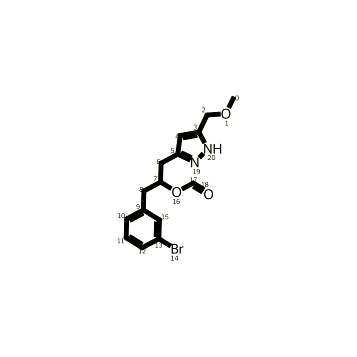 COCc1cc(CC(Cc2cccc(Br)c2)OC=O)n[nH]1